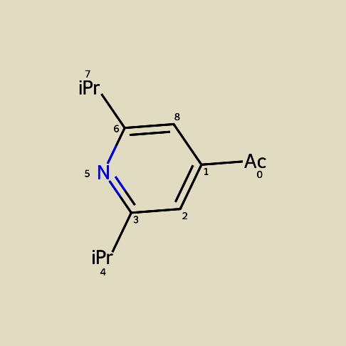 CC(=O)c1cc(C(C)C)nc(C(C)C)c1